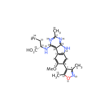 COc1cc2c(cc1-c1c(C)noc1C)[nH]c1nc(C)nc(N[C@@H](CC(C)C)C(=O)O)c12